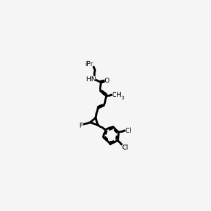 CC(C=CC1C(F)C1c1ccc(Cl)c(Cl)c1)=CC(=O)NCC(C)C